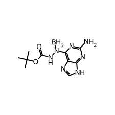 BN(NC(=O)OC(C)(C)C)c1nc(N)nc2[nH]cnc12